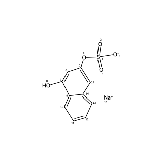 O=S(=O)([O-])Oc1cc(O)c2ccccc2c1.[Na+]